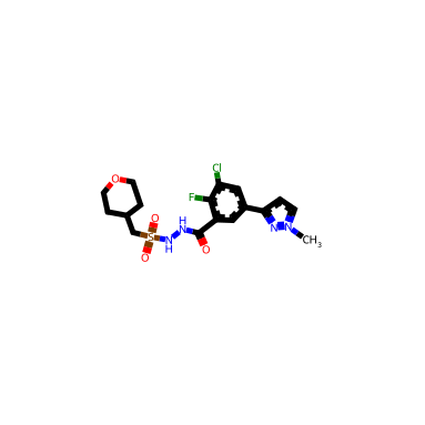 Cn1ccc(-c2cc(Cl)c(F)c(C(=O)NNS(=O)(=O)CC3CCOCC3)c2)n1